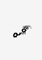 NS(=O)(=O)c1ccc(NC=Cc2ccccc2)cc1